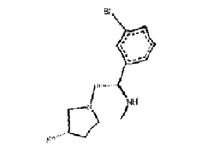 CN[C@H](CN1CC[C@H](F)C1)c1cccc(Br)c1